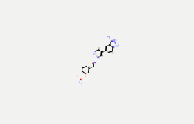 NC(=O)Oc1cccc(CC(=O)Nc2cc(-c3ccc4[nH]nc(N)c4c3)ccn2)c1